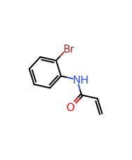 C=CC(=O)Nc1ccccc1Br